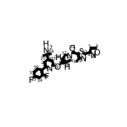 Cc1nc(-c2ccon2)sc1C(=O)N1C[C@@H]2[C@H](C1)[C@@H]2Oc1cc(C(C)(C)N)cc(-c2ccc(F)cc2F)n1